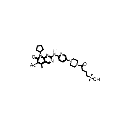 CC(=O)c1c(C)c2cnc(Nc3ccc(N4CCN(C(=O)CCC[Si](C)(C)O)CC4)cn3)nc2n(C2CCCC2)c1=O